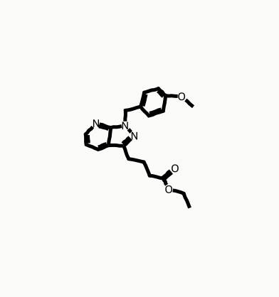 CCOC(=O)CCCc1nn(Cc2ccc(OC)cc2)c2ncccc12